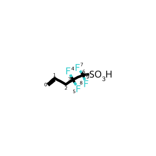 C=CCC(F)(F)C(F)(F)S(=O)(=O)O